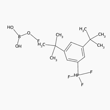 CC(C)(C)c1cc(C(C)(C)C)cc([PH](F)(F)F)c1.OB(O)OF